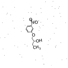 CCC(O)COc1cccc([N+](=O)[O-])c1